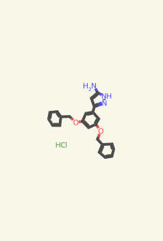 Cl.Nc1cc(-c2cc(OCc3ccccc3)cc(OCc3ccccc3)c2)n[nH]1